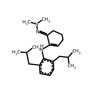 CC(C)Cc1cccc(CC(C)C)c1NC1=CCCC/C1=N\N(C)C